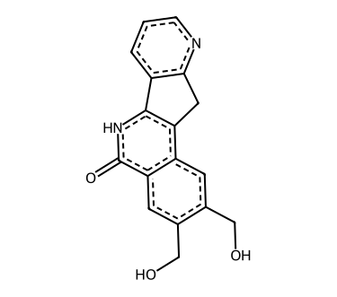 O=c1[nH]c2c(c3cc(CO)c(CO)cc13)Cc1ncccc1-2